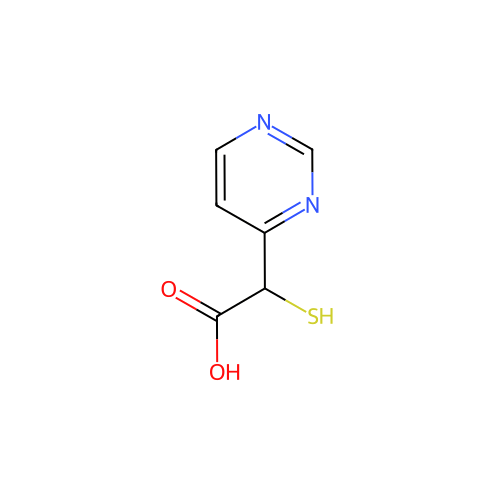 O=C(O)C(S)c1ccncn1